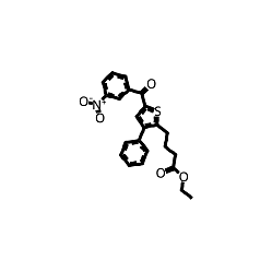 CCOC(=O)CCCc1sc(C(=O)c2cccc([N+](=O)[O-])c2)cc1-c1ccccc1